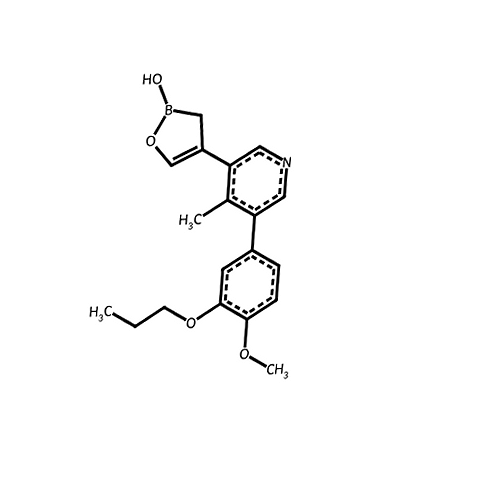 CCCOc1cc(-c2cncc(C3=COB(O)C3)c2C)ccc1OC